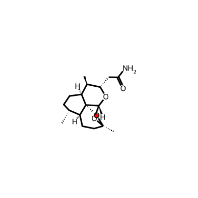 C[C@H]1[C@H](CC(N)=O)O[C@@H]2O[C@]3(C)CC[C@H]4[C@H](C)CC[C@@H]1[C@@]24OO3